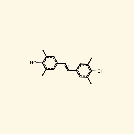 Cc1cc(/C=C/c2cc(C)c(O)c(C)c2)cc(C)c1O